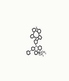 C[Si]1(C)c2ccccc2-c2c(C(c3ccc(-c4ccccc4)cc3)c3ccc4c(c3)c3cccc5c6cccc7sc8cccc(c9ccccc9n4c53)c8c76)cccc21